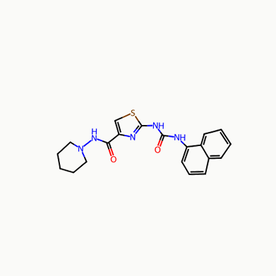 O=C(Nc1nc(C(=O)NN2CCCCC2)cs1)Nc1cccc2ccccc12